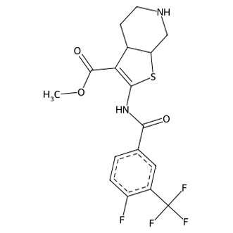 COC(=O)C1=C(NC(=O)c2ccc(F)c(C(F)(F)F)c2)SC2CNCCC12